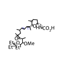 CC[Si](CC)(CC)OC(C)C(OC)C(C)[C@H]1O[C@]1(C)CC(C)/C=C/C=C(\C)[C@H]1O[C@@H](CNC(=O)O)CC[C@@H]1C